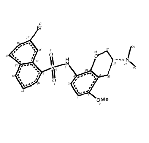 COc1ccc(NS(=O)(=O)c2cccc3ccc(Br)cc23)c2c1C[C@@H](N(C)C)CO2